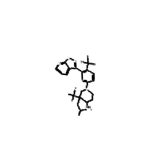 CC(C)CC1(C(F)(F)F)CN(c2ccc(C(F)(F)F)c(-c3n[nH]c4ncccc34)n2)CCC1N